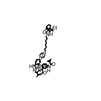 CCC1(C)C[C@]2(C(=O)NCCCCCCCCN3CCN(c4ccc(Nc5ncc6c(C)cc(=O)n(-c7cccc(NC(=O)C8CC8)c7)c6n5)c(OC)c4)CC3)CC3CCC12C3